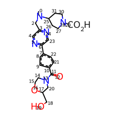 CN(Cc1cnc(-c2ccc(C(=O)N3CCOC(CO)C3)cc2)cn1)C1CCN(C(=O)O)CC1